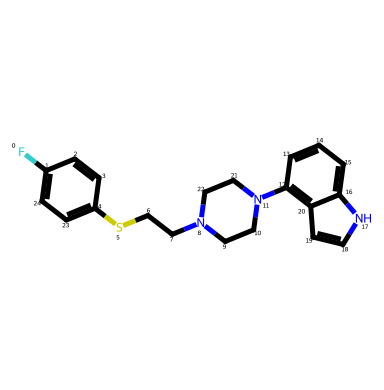 Fc1ccc(SCCN2CCN(c3cccc4[nH]ccc34)CC2)cc1